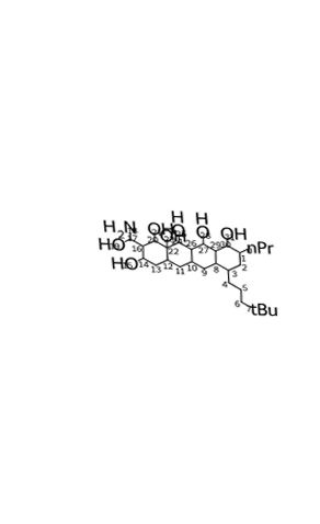 CCCC1CC(CCCC(C)(C)C)C2CC3CC4CC(O)C(C(N)O)C(O)C4(O)C(O)C3C(O)C2C1O